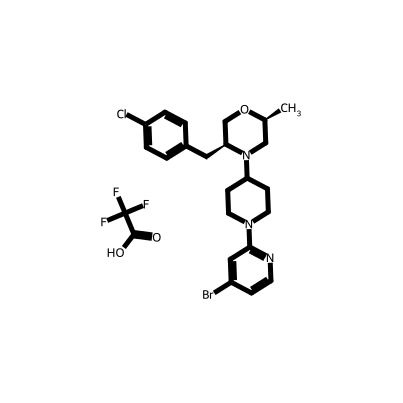 C[C@H]1CN(C2CCN(c3cc(Br)ccn3)CC2)[C@@H](Cc2ccc(Cl)cc2)CO1.O=C(O)C(F)(F)F